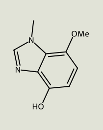 COc1ccc(O)c2ncn(C)c12